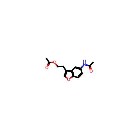 CC(=O)Nc1ccc2occ(CCOC(C)=O)c2c1